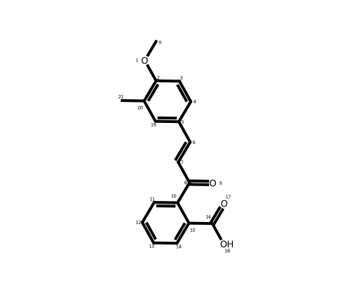 COc1ccc(C=CC(=O)c2ccccc2C(=O)O)cc1C